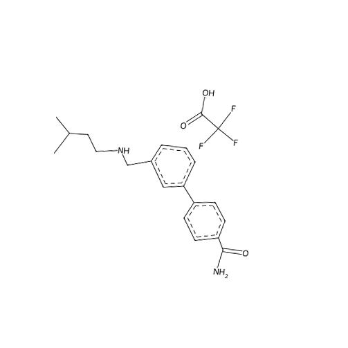 CC(C)CCNCc1cccc(-c2ccc(C(N)=O)cc2)c1.O=C(O)C(F)(F)F